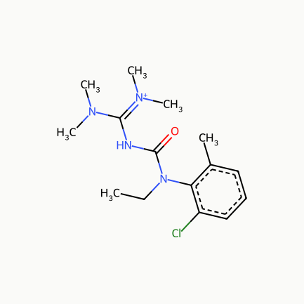 CCN(C(=O)NC(N(C)C)=[N+](C)C)c1c(C)cccc1Cl